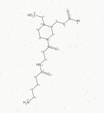 CC(C)C(=O)OCC1CN(C(=O)CCNC(=O)CCCCN)CCN1CC(=O)O